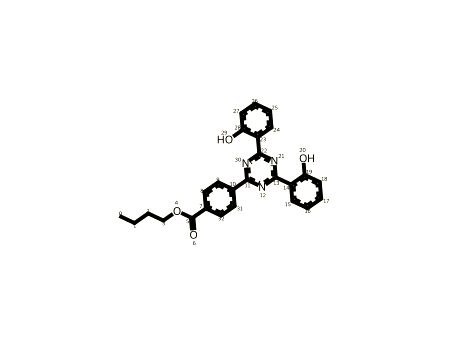 CCCCOC(=O)c1ccc(-c2nc(-c3ccccc3O)nc(-c3ccccc3O)n2)cc1